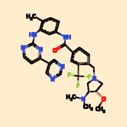 CO[C@H]1CN(Cc2ccc(C(=O)Nc3ccc(C)c(Nc4nccc(-c5cncnc5)n4)c3)cc2C(F)(F)F)CC1N(C)C